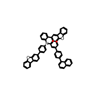 c1cc(-c2ccc(-c3cccc4ccccc34)cc2)cc(N(c2ccc(-c3ccc4c(c3)oc3ccccc34)cc2)c2ccccc2-c2ccc3oc4ccccc4c3c2)c1